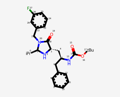 CC(C)C1N[C@@H](C[C@H](Cc2ccccc2)NC(=O)OC(C)(C)C)C(=O)N1Cc1cccc(F)c1